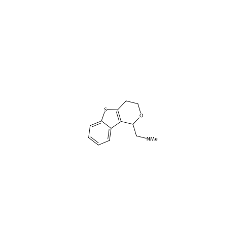 CNCC1OCCc2sc3ccccc3c21